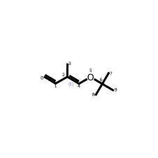 C=C/C(C)=C/OC(C)(C)C